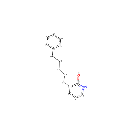 O=c1[nH]cccc1CCCCCc1ccccc1